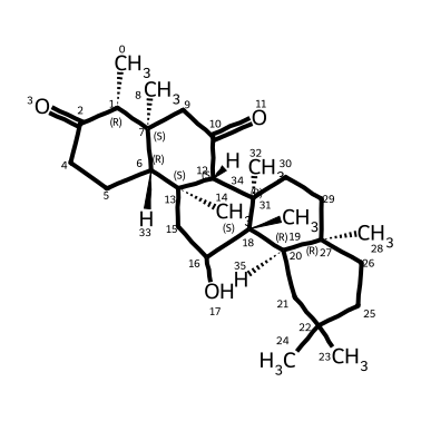 C[C@H]1C(=O)CC[C@@H]2[C@]1(C)CC(=O)[C@H]1[C@@]2(C)CC(O)[C@@]2(C)[C@@H]3CC(C)(C)CC[C@]3(C)CC[C@]12C